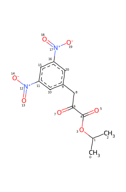 CC(C)OC(=O)C(=O)Cc1cc([N+](=O)[O-])cc([N+](=O)[O-])c1